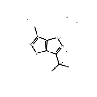 Cc1nsc2c(C(C)C)n[nH]c12